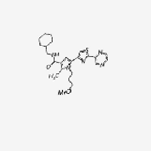 COCCCn1c(-c2csc(-c3cnccn3)n2)cc(C(=O)NCC2CCCCC2)c1C